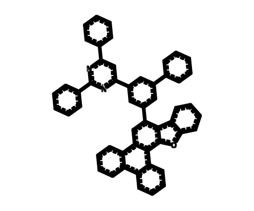 c1ccc(-c2cc(-c3cc(-c4ccccc4)nc(-c4ccccc4)n3)cc(-c3cc4c5ccccc5c5ccccc5c4c4oc5ccccc5c34)c2)cc1